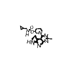 Cc1nc(N2CCCC(OC(=O)NCC3CC3)C2)c2c(cnc3[nH]ccc32)n1